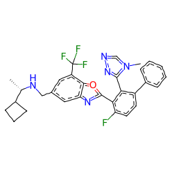 C[C@H](NCc1cc(C(F)(F)F)c2oc(-c3c(F)ccc(-c4ccccc4)c3-c3nncn3C)nc2c1)C1CCC1